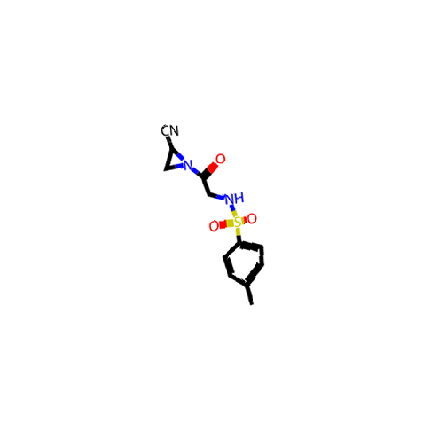 Cc1ccc(S(=O)(=O)NCC(=O)N2CC2C#N)cc1